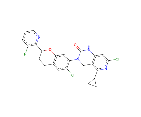 O=C1Nc2cc(Cl)nc(C3CC3)c2CN1c1cc2c(cc1Cl)CCC(c1ncccc1F)O2